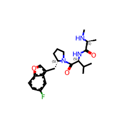 CN[C@@H](C)C(=O)N[C@H](C(=O)N1CCC[C@H]1Cc1coc2ccc(F)cc12)C(C)C